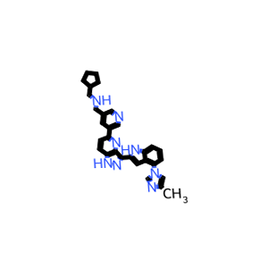 Cc1cn(-c2cccc3[nH]c(-c4n[nH]c5ccc(-c6cncc(CNCC7CCCC7)c6)nc45)cc23)cn1